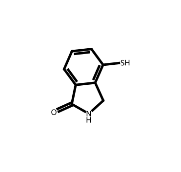 O=C1NCc2c(S)cccc21